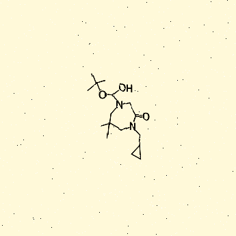 CC1(C)CN(CC2CC2)C(=O)CN(C(O)OC(C)(C)C)C1